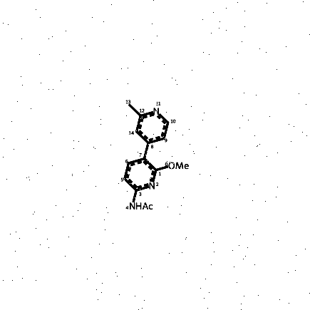 COc1nc(NC(C)=O)ccc1-c1ccnc(C)c1